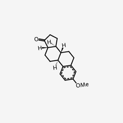 COc1ccc2c(c1)CC[C@H]1[C@@H]3CCC(=O)[C@H]3CC[C@H]21